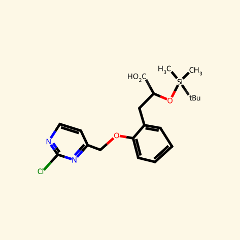 CC(C)(C)[Si](C)(C)OC(Cc1ccccc1OCc1ccnc(Cl)n1)C(=O)O